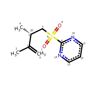 C=C(C)[C@H](C)CS(=O)(=O)c1ncccn1